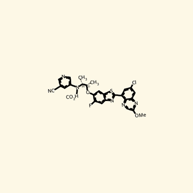 COc1cnc2c(-c3nc4cc(F)c(O[C@@H](C)[C@@H](C)N(C(=O)O)c5cncc(C#N)c5)cc4s3)cc(Cl)cc2n1